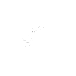 C=CC(=O)N1CCC2(CC1)CC(=O)c1cc(F)ccc1O2